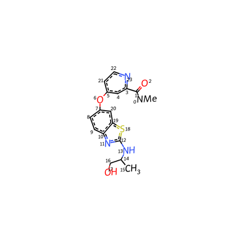 CNC(=O)c1cc(Oc2ccc3nc(NC(C)CO)sc3c2)ccn1